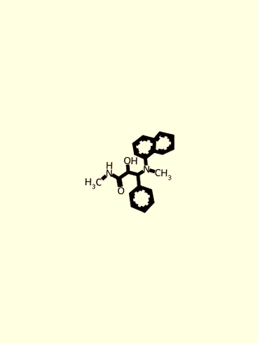 CNC(=O)C(O)C(c1ccccc1)N(C)c1cccc2ccccc12